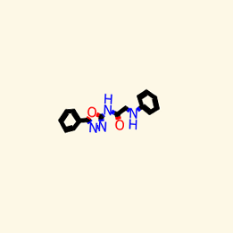 O=C(CNc1ccccc1)Nc1nnc(-c2ccccc2)o1